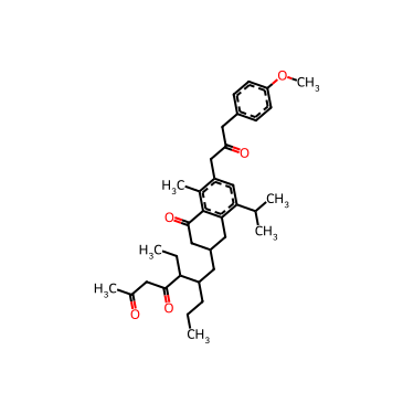 CCCC(CC1CC(=O)c2c(C)c(CC(=O)Cc3ccc(OC)cc3)cc(C(C)C)c2C1)C(CC)C(=O)CC(C)=O